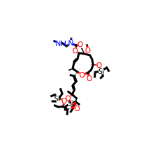 CCC(O[Si](CC)(CC)CC)C(C)[C@H]1O[C@@H]1CC(C)(/C=C/C=C(\C)[C@H]1OC(=O)C[C@H](O[Si](CC)(CC)CC)CC[C@@](C)(OC)[C@@H](OC(=O)N(C)CCNC)/C=C/[C@@H]1C)O[Si](CC)(CC)CC